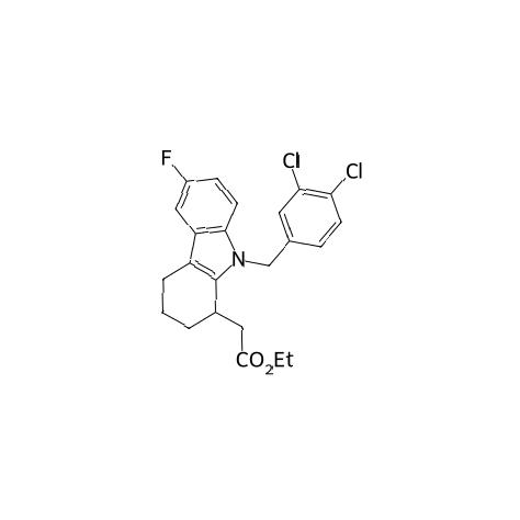 CCOC(=O)CC1CCCc2c1n(Cc1ccc(Cl)c(Cl)c1)c1ccc(F)cc21